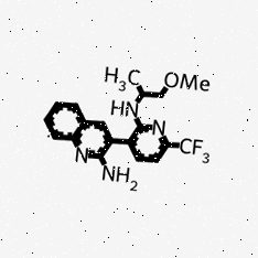 COCC(C)Nc1nc(C(F)(F)F)ccc1-c1cc2ccc[c]c2nc1N